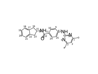 Cc1cc(C)nc(Nc2ccc(C(=O)NC3Cc4ccccc4C3)cc2)n1